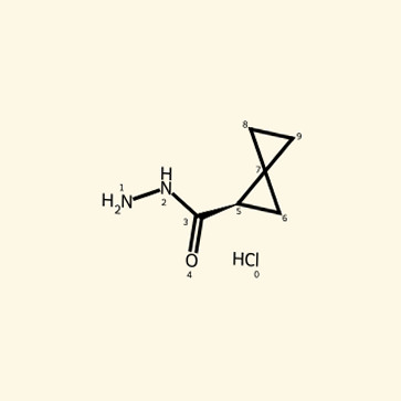 Cl.NNC(=O)[C@@H]1CC12CC2